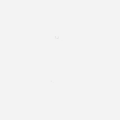 CC(=O)c1ccc(N)c(Cl)c1Cl